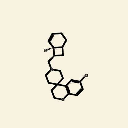 Clc1ccc2c(c1)C1(CCO2)CCN(C[C@@H]2CC3CCC=C[C@@H]32)CC1